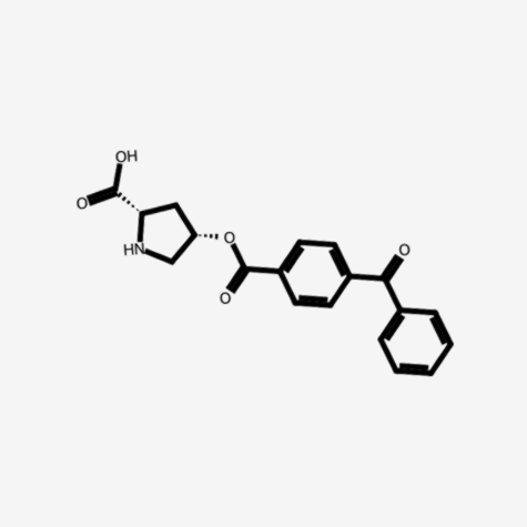 O=C(O[C@@H]1CN[C@H](C(=O)O)C1)c1ccc(C(=O)c2ccccc2)cc1